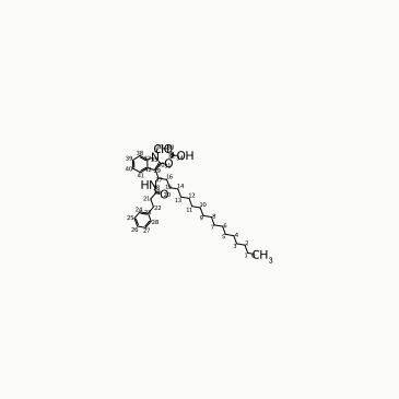 CCCCCCCCCCCCCCCCCC(NC(=O)CCc1ccccc1)c1c(OC(=O)O)n(C)c2ccccc12